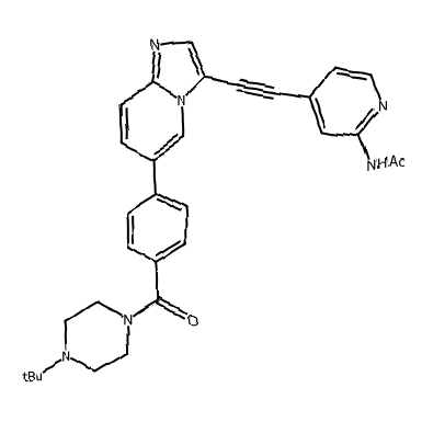 CC(=O)Nc1cc(C#Cc2cnc3ccc(-c4ccc(C(=O)N5CCN(C(C)(C)C)CC5)cc4)cn23)ccn1